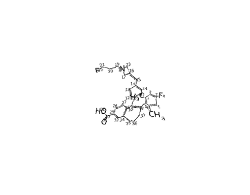 Cc1cc(F)cc(C)c1C1=C(c2ccc(C=C3CN(CCCF)C3)cc2)c2ccc(C(=O)O)cc2CCC1